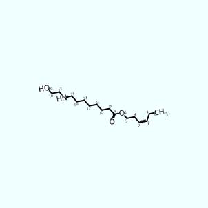 CC/C=C\CCOC(=O)CCCCCCCNCCO